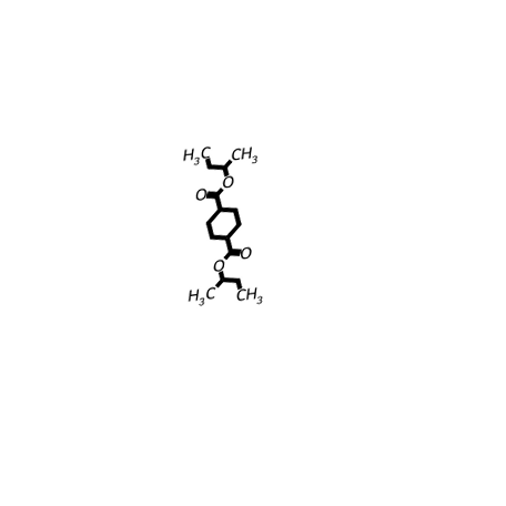 CCC(C)OC(=O)C1CCC(C(=O)OC(C)CC)CC1